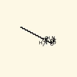 CCCCCCCCCCCCCCCCCCOC(=O)[C@H](N)CCC(=O)OC(=O)[C@H](C)N